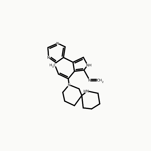 C=Nc1[nH]cc(-c2cncnc2)c1/C(=C\C)N1CCCC2(CCCCN2)C1